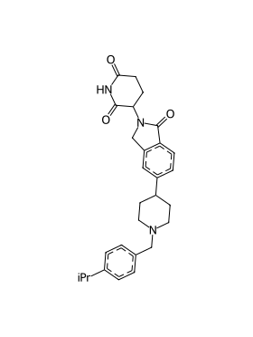 CC(C)c1ccc(CN2CCC(c3ccc4c(c3)CN(C3CCC(=O)NC3=O)C4=O)CC2)cc1